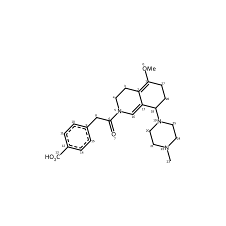 COC1=C2CCN(C(=O)Cc3ccc(C(=O)O)cc3)C=C2C(N2CCN(C)CC2)CC1